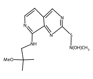 COC(C)(C)CNc1nccc2cnc(SN(C)O)nc12